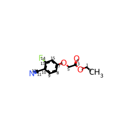 CCOC(=O)COc1ccc(C#N)c(F)c1